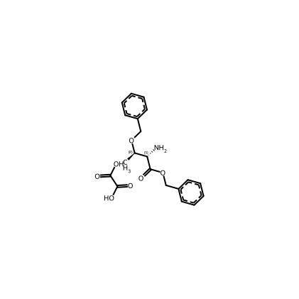 C[C@@H](OCc1ccccc1)[C@H](N)C(=O)OCc1ccccc1.O=C(O)C(=O)O